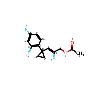 CC(=O)OCC(F)=CC1(c2ccc(F)cc2F)CC1